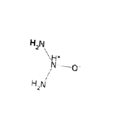 N[NH+](N)[O-]